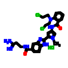 Cl.Cn1cc(NC(=O)c2ccccc2N(CCCl)CCCl)cc1-c1nc2cc(C(=O)NCCC(=N)N)ccc2[nH]1